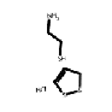 C1=CSSC1.Cl.NCCS